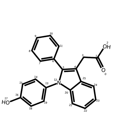 O=C(O)Cc1c(-c2ccccc2)n(-c2ccc(O)cc2)c2ccccc12